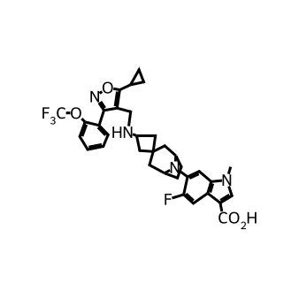 Cn1cc(C(=O)O)c2cc(F)c(N3C4CCC3CC3(CC(NCc5c(-c6ccccc6OC(F)(F)F)noc5C5CC5)C3)C4)cc21